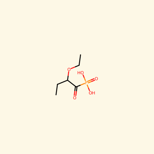 CCOC(CC)C(=O)P(=O)(O)O